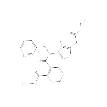 COC(=O)Cc1sc(Cl)c(N(Cc2cccnc2)C(=O)C2=C(C(=O)OC)CCCC2)c1Cl